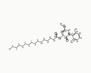 CCCCCCCCCCCCCCCC(=O)SCC(=O)N(CC(=O)OC)c1c(C)cccc1C